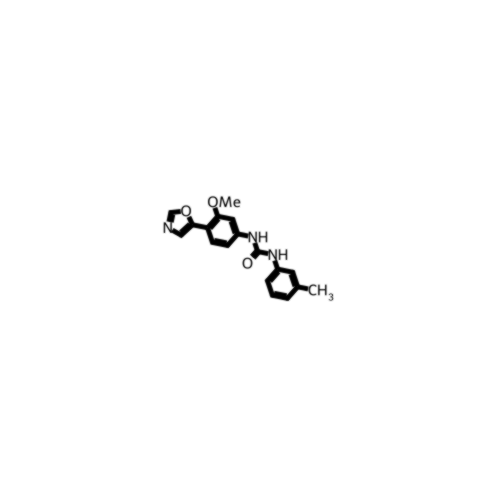 COc1cc(NC(=O)Nc2cccc(C)c2)ccc1-c1cnco1